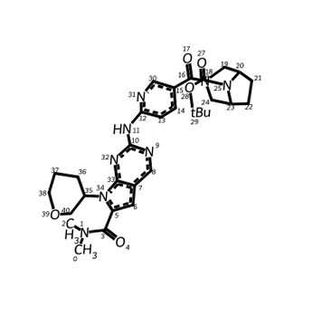 CN(C)C(=O)c1cc2cnc(Nc3ccc(C(=O)N4CC5CCC(C4)N5C(=O)OC(C)(C)C)cn3)nc2n1C1CCCOC1